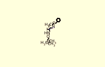 CC(/N=C\C(F)=C(\I)CNCOCC[Si](C)(C)C)OCc1ccccc1